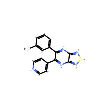 Cc1cccc(-c2nc3nsnc3nc2-c2ccncc2)c1